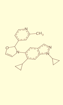 Cc1cc(C2OC=CN2c2cc3cnn(C4CC4)c3cc2C2CC2)ccn1